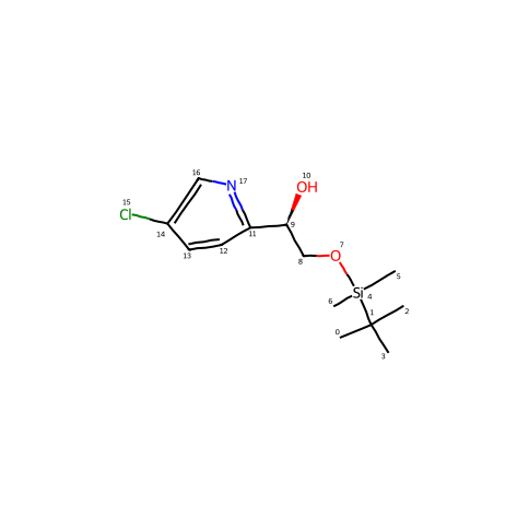 CC(C)(C)[Si](C)(C)OC[C@H](O)c1ccc(Cl)cn1